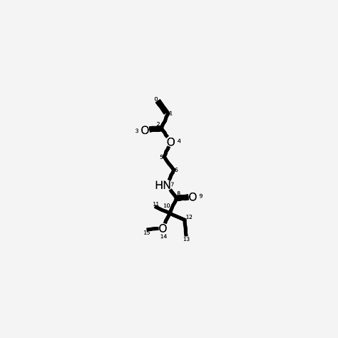 C=CC(=O)OCCNC(=O)C(C)(CC)OC